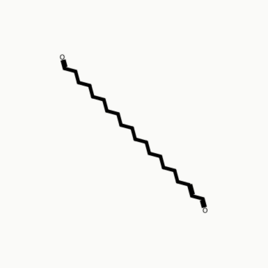 O=CC=CCCCCCCCCCCCCCCCCC=O